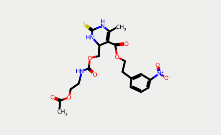 CC(=O)OCCNC(=O)OCC1NC(=S)NC(C)=C1C(=O)OCCc1cccc([N+](=O)[O-])c1